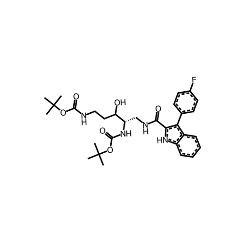 CC(C)(C)OC(=O)NCCC(O)[C@H](CNC(=O)c1[nH]c2ccccc2c1-c1ccc(F)cc1)NC(=O)OC(C)(C)C